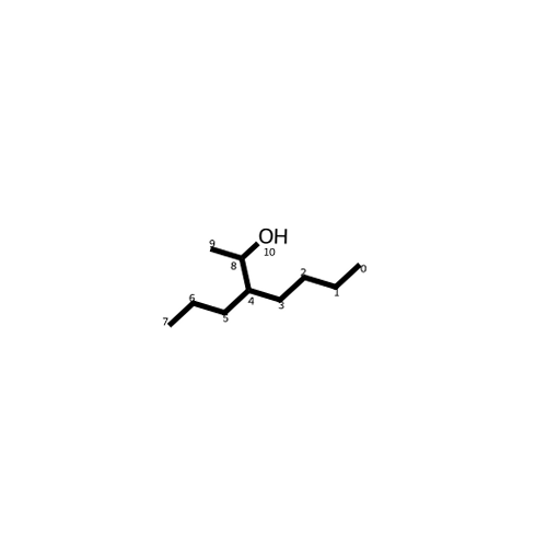 CCCCC(CCC)C(C)O